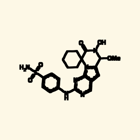 COC1c2cc3cnc(Nc4ccc(S(N)(=O)=O)cc4)nc3n2C2(CCCCC2)C(=O)N1O